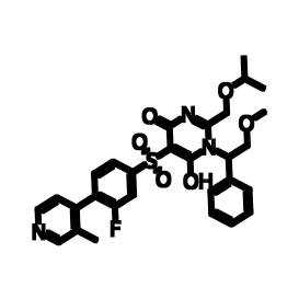 COCC(c1ccccc1)n1c(COC(C)C)nc(=O)c(S(=O)(=O)c2ccc(-c3ccncc3C)c(F)c2)c1O